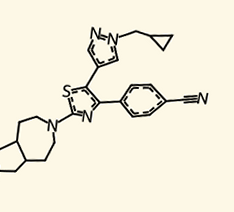 N#Cc1ccc(-c2nc(N3CCC4CNCC4CC3)sc2-c2cnn(CC3CC3)c2)cc1